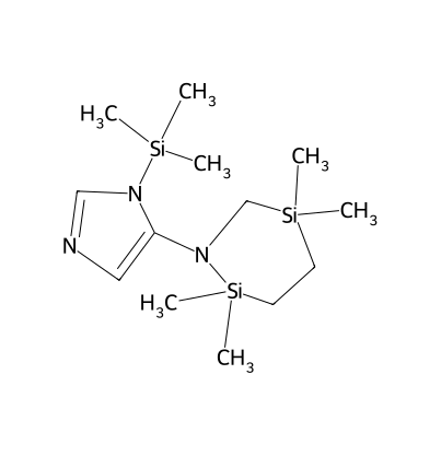 C[Si]1(C)CC[Si](C)(C)N(c2cncn2[Si](C)(C)C)C1